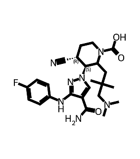 CN(C)CC(C)(C)CC1[C@@H](n2cc(C(N)=O)c(Nc3ccc(F)cc3)n2)[C@H](C#N)CCN1C(=O)O